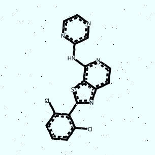 Clc1cccc(Cl)c1-c1nc2ccnc(Nc3cnccn3)c2s1